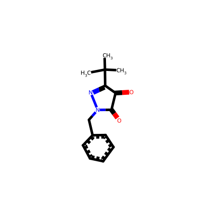 CC(C)(C)C1=NN(Cc2ccccc2)C(=O)C1=O